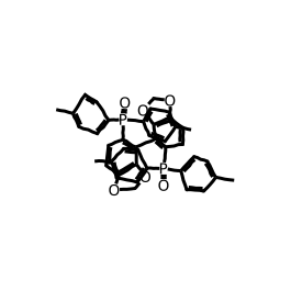 Cc1ccc(P(=O)(c2ccc(C)cc2)c2ccc3c(c2-c2c(P(=O)(c4ccc(C)cc4)c4ccc(C)cc4)ccc4c2OCO4)OCO3)cc1